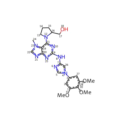 COc1cc(-n2cnc(Nc3nc(N4CCCC4CO)c4c(ncn4C)n3)c2)cc(OC)c1OC